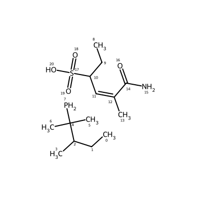 CCC(C)C(C)(C)P.CCC(C=C(C)C(N)=O)S(=O)(=O)O